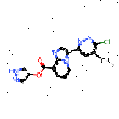 Cc1cc(-c2cnc3c(C(=O)Oc4cn[nH]c4)cccn23)nnc1Cl